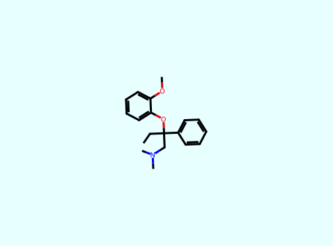 CCC(CN(C)C)(Oc1ccccc1OC)c1ccccc1